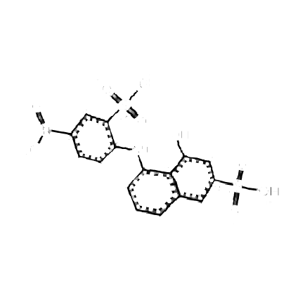 O=[N+]([O-])c1ccc(Nc2cccc3cc(S(=O)(=O)O)cc(O)c23)c(S(=O)(=O)O)c1